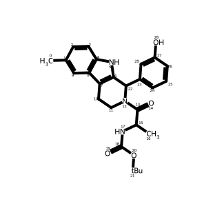 Cc1ccc2[nH]c3c(c2c1)CCN(C(=O)C(C)NC(=O)OC(C)(C)C)C3c1cccc(O)c1